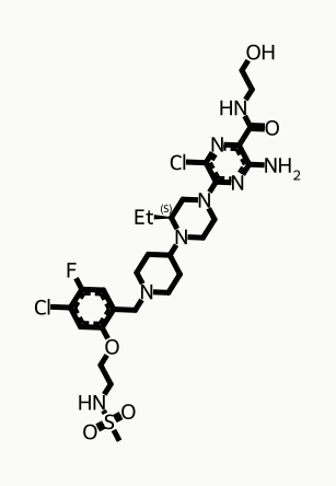 CC[C@H]1CN(c2nc(N)c(C(=O)NCCO)nc2Cl)CCN1C1CCN(Cc2cc(F)c(Cl)cc2OCCNS(C)(=O)=O)CC1